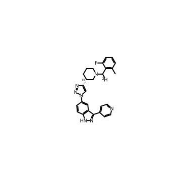 [2H]C(c1c(C)cccc1F)N1CCC[C@@H](c2cn(-c3ccc4[nH]nc(-c5ccncc5)c4c3)nn2)C1